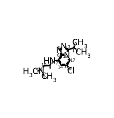 CC(C)c1nnc2c(NCCN(C)C)cc(Cl)cn12